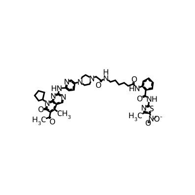 CC(=O)c1c(C)c2cnc(Nc3ccc(N4CCN(CC(=O)NCCCCCC(=O)Nc5ccccc5C(=O)Nc5nc(C)c([N+](=O)[O-])s5)CC4)cn3)nc2n(C2CCCC2)c1=O